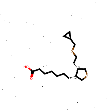 O=C(O)CCCCCC[C@H]1CSC[C@H]1CCSCC1CC1